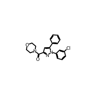 O=C(c1cc(-c2ccccc2)n(-c2cccc(Cl)c2)n1)N1CCOCC1